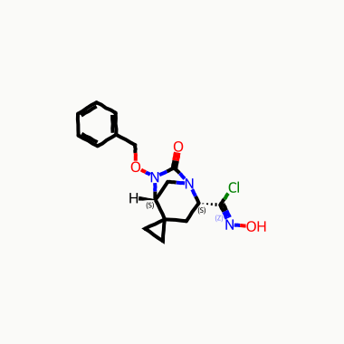 O=C1N2C[C@@H](N1OCc1ccccc1)C1(CC1)C[C@H]2/C(Cl)=N/O